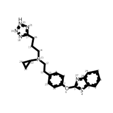 c1ccc2sc(Oc3ccc(CCN(CCCc4nn[nH]n4)C4CC4)cc3)nc2c1